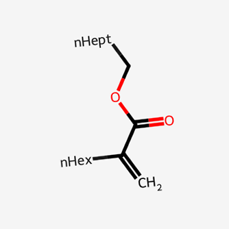 C=C(CCCCCC)C(=O)OCCCCCCCC